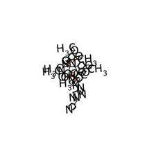 CCN1CCc2cc(OC)c(OC)cc2C1C1CC(C(=O)N2CCN(c3ncnc4c3cnn4Cc3ccncc3)CC2)CCC12c1cc(OC)c(OC)cc1CCN2C(=O)CCN(C)C(=O)OCc1oc(=O)oc1C